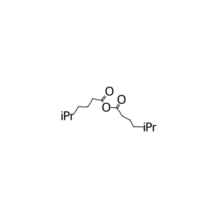 CC(C)CCCC(=O)OC(=O)CCCC(C)C